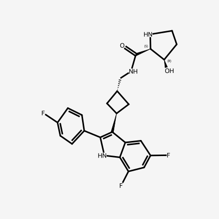 O=C(NC[C@H]1C[C@H](c2c(-c3ccc(F)cc3)[nH]c3c(F)cc(F)cc32)C1)[C@H]1NCC[C@H]1O